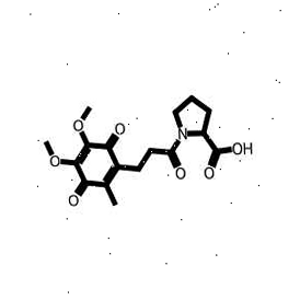 COC1=C(OC)C(=O)C(CCC(=O)N2CCCC2C(=O)O)=C(C)C1=O